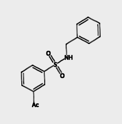 CC(=O)c1cccc(S(=O)(=O)NCc2ccccc2)c1